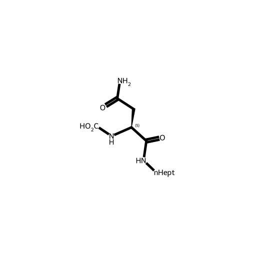 CCCCCCCNC(=O)[C@H](CC(N)=O)NC(=O)O